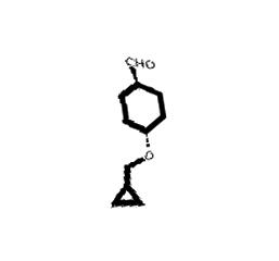 O=C[C@H]1CC[C@H](OCC2CC2)CC1